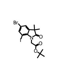 CC(C)(C)OC(=O)CN1C(=O)C(C)(C)c2cc(Br)cc(I)c21